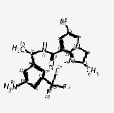 C[C@@H]1CN2C=C(Br)C=C(C(=O)N[C@H](C)c3cc(N)cc(C(F)(F)F)c3)C2=N1